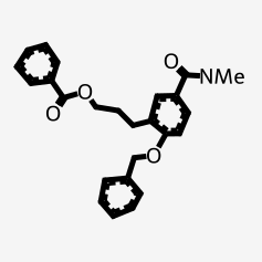 CNC(=O)c1ccc(OCc2ccccc2)c(CCCOC(=O)c2ccccc2)c1